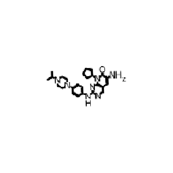 CC(C)N1CCN(c2ccc(Nc3ncc4cc(N)c(=O)n(C5CCCC5)c4n3)cc2)CC1